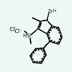 CC1=C([SiH](C)C)c2c(-c3ccccc3)cccc2[CH]1[Zr+2].[Cl-].[Cl-]